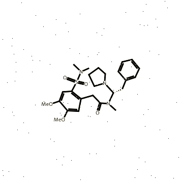 COc1cc(CC(=O)N(C)[C@@H](Cc2ccccc2)N2CCCC2)c(S(=O)(=O)N(C)C)cc1OC